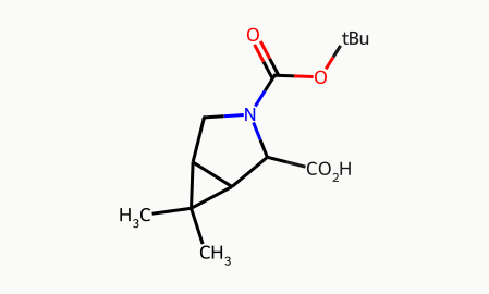 CC(C)(C)OC(=O)N1CC2C(C1C(=O)O)C2(C)C